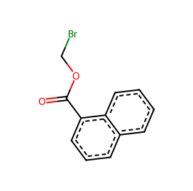 O=C(OCBr)c1cccc2ccccc12